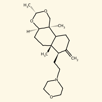 C=C1CCC2[C@]3(C)CO[C@@H](C)O[C@@H]3CC[C@@]2(C)[C@@H]1CCN1CCOCC1